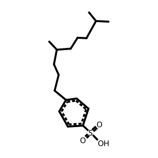 CC(C)CCCC(C)CCCc1ccc(S(=O)(=O)O)cc1